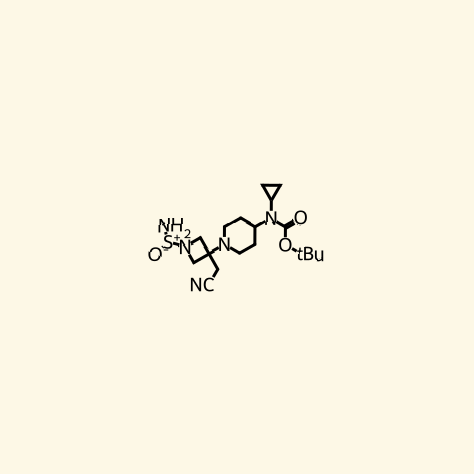 CC(C)(C)OC(=O)N(C1CC1)C1CCN(C2(CC#N)CN([S+](N)[O-])C2)CC1